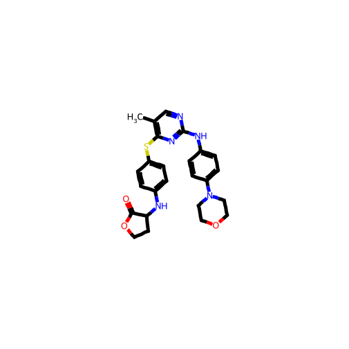 Cc1cnc(Nc2ccc(N3CCOCC3)cc2)nc1Sc1ccc(NC2CCOC2=O)cc1